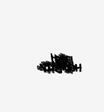 CN1CCc2ccc(NC(=O)C(C)(Cc3ccc(O)cc3)NC(=O)c3ccc(Cl)s3)cc2CC1